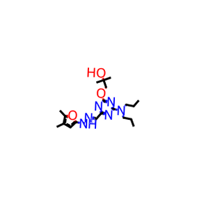 CCCN(CCC)c1nc(/C=N/Nc2cc(C)c(C)o2)nc(OCC(C)(C)O)n1